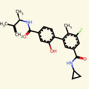 C=C(C)[C@@H](C)NC(=O)c1ccc(-c2cc(C(=O)NC3CC3)cc(F)c2C)c(O)c1